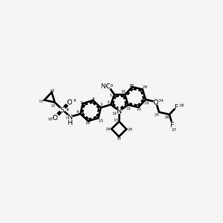 N#Cc1c(-c2ccc(NS(=O)(=O)C3CC3)cc2)n(C2CCC2)c2cc(OCC(F)F)ccc12